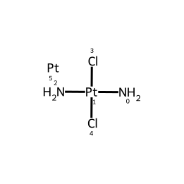 [NH2][Pt]([NH2])([Cl])[Cl].[Pt]